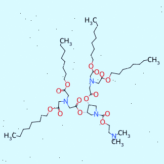 CCCCCCCCOC(=O)CN(CC(=O)OCCCCCCCC)CC(=O)O[C@H]1CN(C(=O)OCCN(C)C)C[C@H]1OC(=O)CN(CC(=O)OCCCCCCCC)CC(=O)OCCCCCCCC